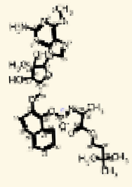 COc1nc(N)nc2c1ncn2C1O[C@H](COc2ccc3ccccc3c2O/[P+]([O-])=N/[C@@H](C)C(=O)OCCC(C)(C)C)[C@@H](O)[C@@]1(C)O